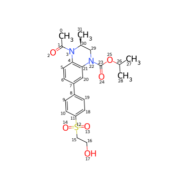 CC(=O)N1c2ccc(-c3ccc(S(=O)(=O)CCO)cc3)cc2N(C(=O)OC(C)C)C[C@@H]1C